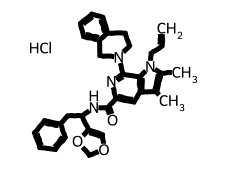 C=CCn1c(C)c(C)c2cc(C(=O)NC(Cc3ccccc3)C3=COCO3)nc(N3CCc4ccccc4C3)c21.Cl